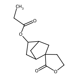 CCC(=O)OC1CC2CC1CC21CCOC1=O